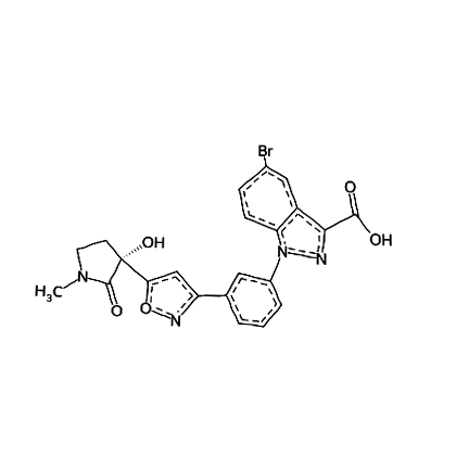 CN1CC[C@@](O)(c2cc(-c3cccc(-n4nc(C(=O)O)c5cc(Br)ccc54)c3)no2)C1=O